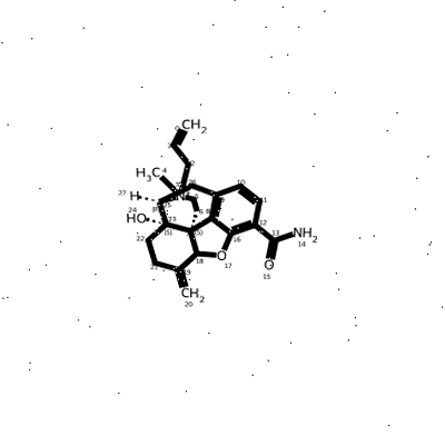 C=CC[N+]1(C)CC[C@]23c4c5ccc(C(N)=O)c4OC2C(=C)CC[C@@]3(O)[C@H]1C5